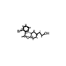 CN(ON1CCC(CCO)CC1)c1ccccc1Br